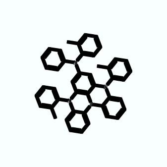 Cc1ccccc1N(c1ccccc1)c1cc2c3c(c1)N(c1ccccc1C)c1ccccc1B3c1ccccc1N2c1ccccc1C